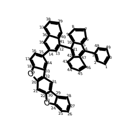 c1ccc(-c2c3ccccc3c(-c3cc(-c4ccc5oc6cc7oc8ccccc8c7cc6c5c4)cc4ccccc34)c3ccccc23)cc1